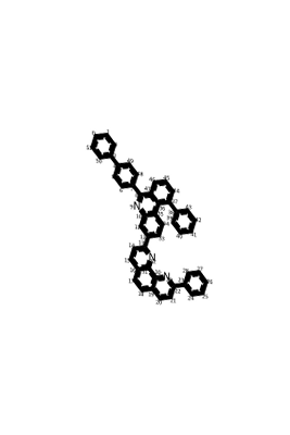 c1ccc(-c2ccc(-c3nc4cc(-c5ccc6ccc7ccc(-c8ccccc8)nc7c6n5)ccc4c4c(-c5ccccc5)cccc34)cc2)cc1